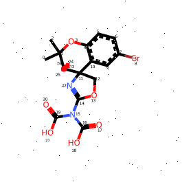 CC1(C)Oc2ccc(Br)cc2C2(COC(N(C(=O)O)C(=O)O)=N2)C12COC2